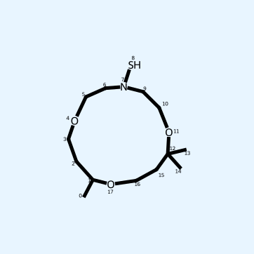 CC1CCOCCN(S)CCOC(C)(C)CCO1